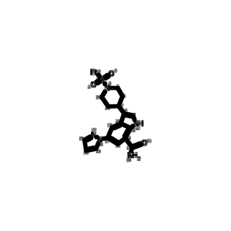 CCS(=O)(=O)N1CCC(c2c[nH]c3c(C(N)=O)cc(-n4cccn4)cc23)CC1